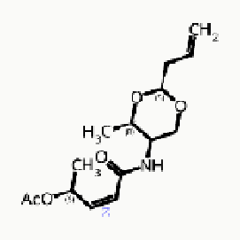 C=CC[C@H]1OCC(NC(=O)/C=C\[C@H](C)OC(C)=O)[C@@H](C)O1